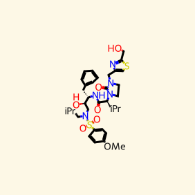 COc1ccc(S(=O)(=O)N(CC(C)C)C[C@@H](O)[C@H](Cc2ccccc2)NC(=O)[C@H](C(C)C)N2CCN(Cc3csc(CO)n3)C2=O)cc1